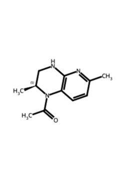 CC(=O)N1c2ccc(C)nc2NC[C@@H]1C